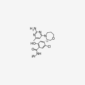 Cc1cc(N2CCCOC[C@@H]2c2cc(O)c(C(=O)NC(C)C)cc2Cl)nc(N)n1